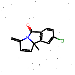 C=C1C=CC2(C)c3cc(Cl)ccc3C(=O)N12